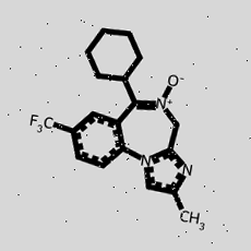 Cc1cn2c(n1)C[N+]([O-])=C(C1CCCCC1)c1cc(C(F)(F)F)ccc1-2